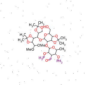 COC(OC)C1OC(C)(C)OC1C(OC1OC(CO)C2OC(C)(C)OC2C1OC1OC(C)C(OP)C(P=O)C1OP)C1COC(C)(C)O1